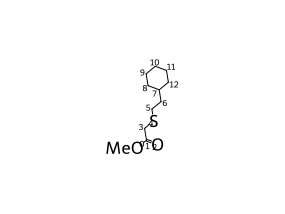 COC(=O)CSCCC1CCCCC1